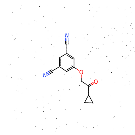 N#Cc1cc(C#N)cc(OCC(=O)C2CC2)c1